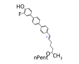 CCCCCOC(C)CCC/C=C/c1ccc(-c2ccc(-c3ccc(O)c(F)c3)cc2)cc1